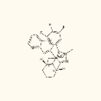 Cn1nc2c(c1-c1cc(F)c(F)c(F)c1)C[C@H]1CCC[C@@H]2N1C(=O)c1cnc2cccnc2c1